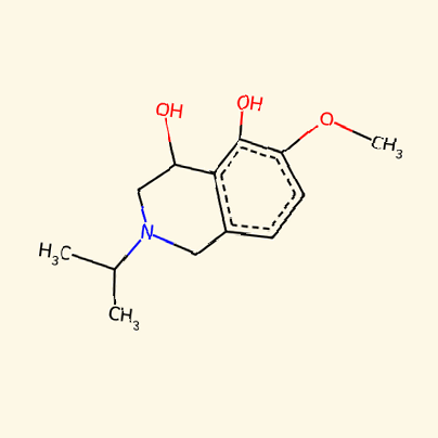 COc1ccc2c(c1O)C(O)CN(C(C)C)C2